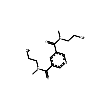 CN(CCO)C(=O)c1cncc(C(=O)N(C)CCO)c1